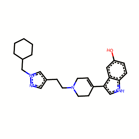 Oc1ccc2[nH]cc(C3=CCN(CCc4cnn(CC5CCCCC5)c4)CC3)c2c1